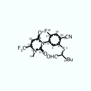 CCC(C)C(C=O)Sc1cc(-n2c(=O)cc(C(F)(F)F)n(C)c2=O)c(F)cc1C#N